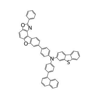 c1ccc(-c2nc3c(ccc4oc5cc(-c6ccc(N(c7ccc(-c8cccc9ccccc89)cc7)c7ccc8c(c7)sc7ccccc78)cc6)ccc5c43)o2)cc1